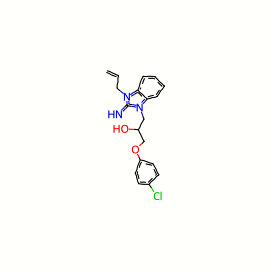 C=CCn1c(=N)n(CC(O)COc2ccc(Cl)cc2)c2ccccc21